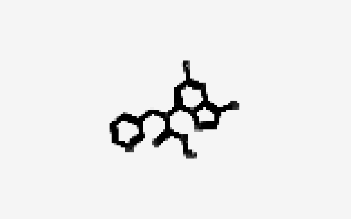 CC(C)(C)OC(=O)N(Cc1cccnc1)c1cc(Cl)nc2c(Br)cnn12